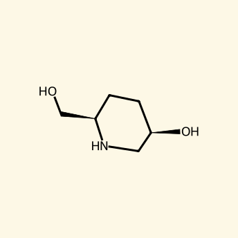 OC[C@H]1CC[C@@H](O)CN1